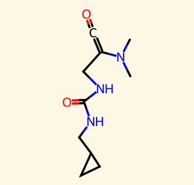 CN(C)C(=C=O)CNC(=O)NCC1CC1